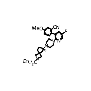 CCOC(=O)N1CC2(CC[C@@H](N3CCN(c4ncc(F)cc4-c4ccc(OC)cc4C#N)CC3)C2)C1